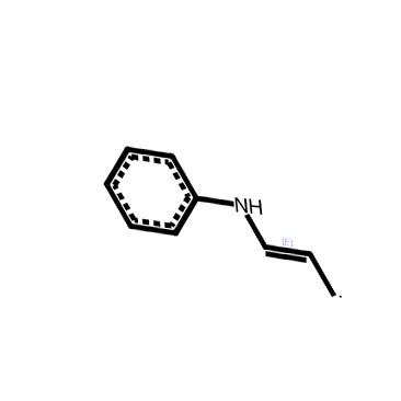 [CH2]/C=C/Nc1ccccc1